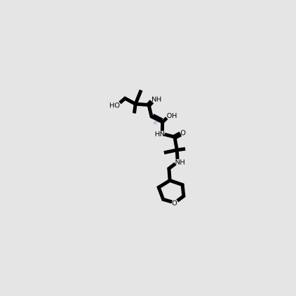 CC(C)(CO)C(=N)/C=C(\O)NC(=O)C(C)(C)NCC1CCOCC1